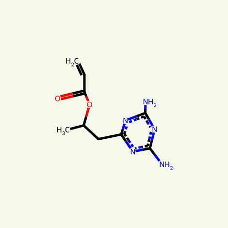 C=CC(=O)OC(C)Cc1nc(N)nc(N)n1